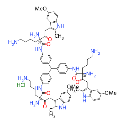 COc1ccc2[nH]c(C)c(CC(=O)[C@@](N)(CCCCN)C(=O)Nc3ccc(C(c4ccc(NC(=O)[C@](N)(CCCCN)C(=O)Cc5c(C)[nH]c6ccc(OC)cc56)cc4)c4ccc(NC(=O)[C@](N)(CCCCN)C(=O)Cc5c(C)[nH]c6ccc(OC)cc56)cc4)cc3)c2c1.Cl